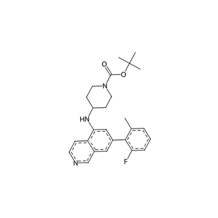 Cc1cccc(F)c1-c1cc(NC2CCN(C(=O)OC(C)(C)C)CC2)c2ccncc2c1